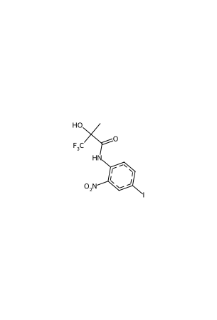 CC(O)(C(=O)Nc1ccc(I)cc1[N+](=O)[O-])C(F)(F)F